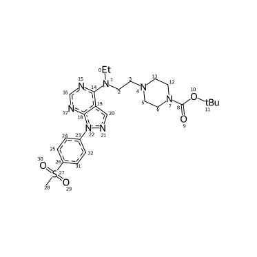 CCN(CCN1CCN(C(=O)OC(C)(C)C)CC1)c1ncnc2c1cnn2-c1ccc(S(C)(=O)=O)cc1